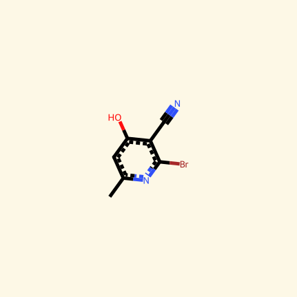 Cc1cc(O)c(C#N)c(Br)n1